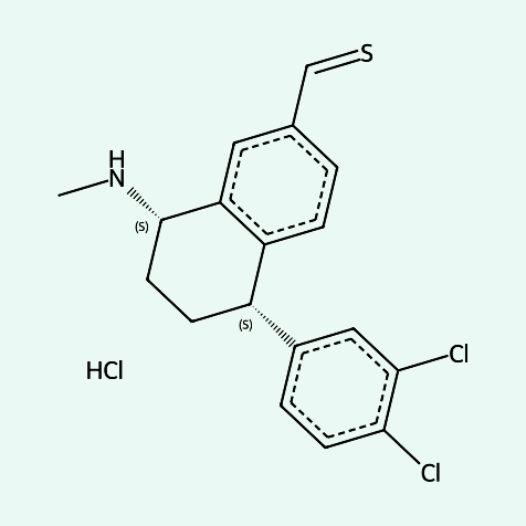 CN[C@H]1CC[C@@H](c2ccc(Cl)c(Cl)c2)c2ccc(C=S)cc21.Cl